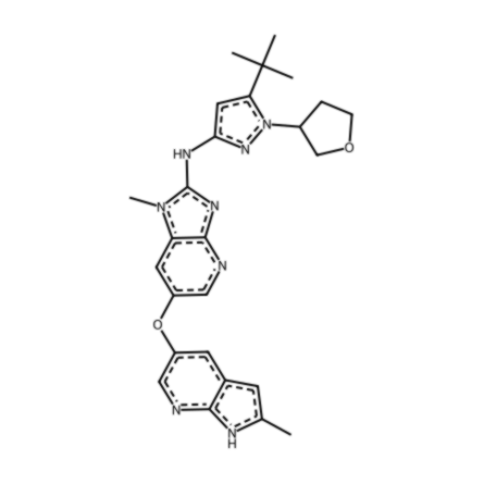 Cc1cc2cc(Oc3cnc4nc(Nc5cc(C(C)(C)C)n(C6CCOC6)n5)n(C)c4c3)cnc2[nH]1